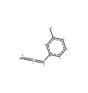 Cc1cccc(N=C=N)c1